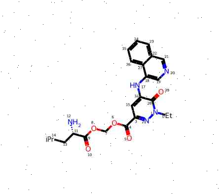 CCn1nc(C(=O)OCOC(=O)[C@@H](N)CC(C)C)cc(Nc2cncc3ccccc23)c1=O